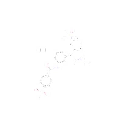 CCCN(CC1CCN(S(C)(=O)=O)CC1)C(C)Cc1cccc(NC(=O)c2ccc(S(C)(=O)=O)cc2)c1.Cl